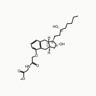 CCCCC[C@@H](O)CC[C@@H]1[C@H]2Cc3cccc(OCC(=O)NCC(=O)OC)c3C[C@H]2C[C@H]1O